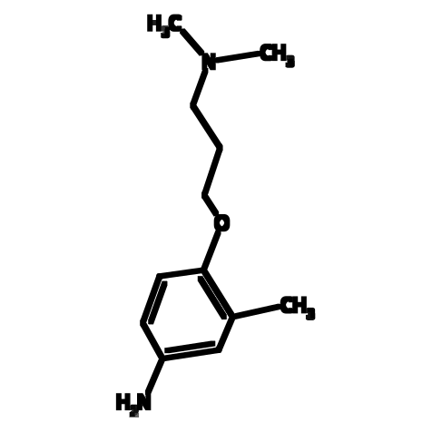 Cc1cc(N)ccc1OCCCN(C)C